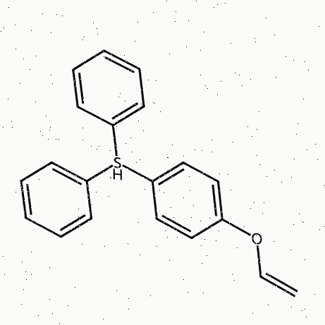 C=COc1ccc([SH](c2ccccc2)c2ccccc2)cc1